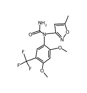 COc1cc(OC)c(C(F)(F)F)cc1N(C(N)=O)c1cc(C)on1